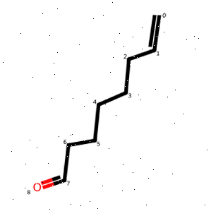 C=CCCCCCC=O